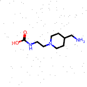 NCC1CCN(CCNC(=O)O)CC1